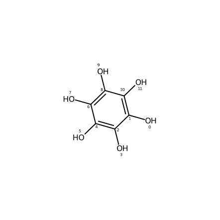 Oc1c(O)c(O)c(O)c(O)c1O